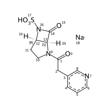 O=C(Cc1cccnc1)N1CC[C@@H]2[C@H]1C(=O)N2S(=O)(=O)O.[Na]